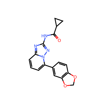 O=C(Nc1nc2cccc(-c3ccc4c(c3)OCO4)n2n1)C1CC1